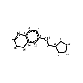 C1=Nc2ccc(OCC3CCCC3)cc2CC1